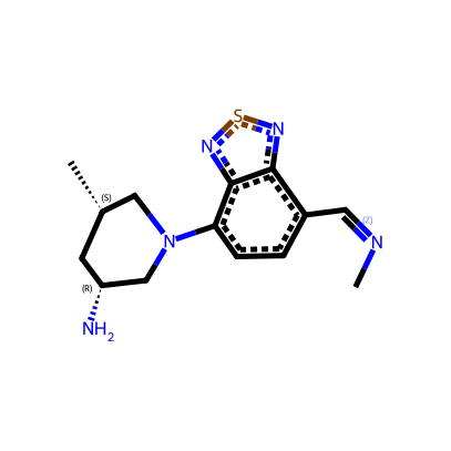 C/N=C\c1ccc(N2C[C@@H](C)C[C@@H](N)C2)c2nsnc12